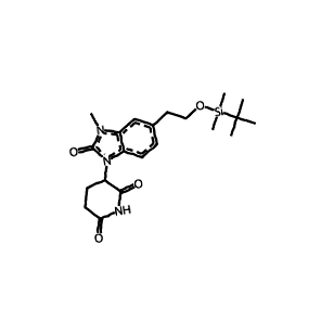 Cn1c(=O)n(C2CCC(=O)NC2=O)c2ccc(CCO[Si](C)(C)C(C)(C)C)cc21